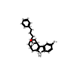 Fc1ccc2[nH]c3c(c2c1)C1CCCC(C3)N1CCCCc1ccccc1